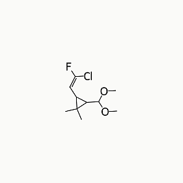 COC(OC)C1C(C=C(F)Cl)C1(C)C